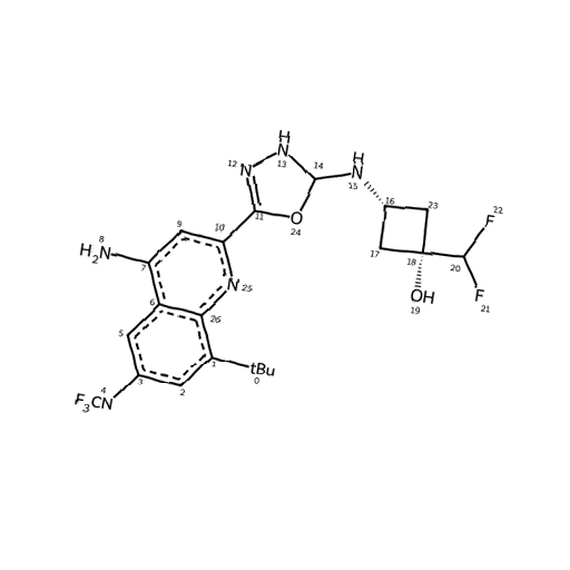 CC(C)(C)c1cc(NC(F)(F)F)cc2c(N)cc(C3=NNC(N[C@H]4C[C@](O)(C(F)F)C4)O3)nc12